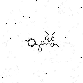 CCO[Si](COC(=O)c1ccc(C)cc1)(OCC)OCC